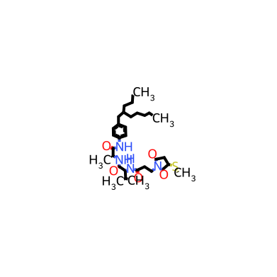 CCCCCC(CCCC)Cc1ccc(NC(=O)[C@H](C)NC(=O)C(NC(=O)CCN2C(=O)CC(SC)C2=O)C(C)C)cc1